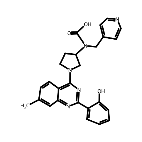 Cc1ccc2c(N3CCC(N(Cc4ccncc4)C(=O)O)C3)nc(-c3ccccc3O)nc2c1